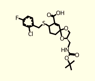 CC(C)(C)OC(=O)NC[C@@H]1COC2(C=C(C(=O)O)C(SCc3ccc(F)cc3Cl)CC2)O1